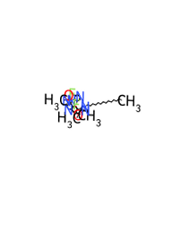 CCCCCCCCCCCCCCn1cc(-c2cc3c(cc2OC)ncc2c3n(-c3c(F)cncc3F)c(=O)n2C)c(C)n1